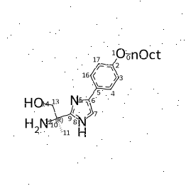 CCCCCCCCOc1ccc(-c2c[nH]c([C@@](C)(N)CO)n2)cc1